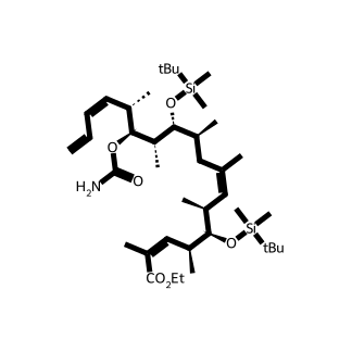 C=C/C=C\[C@H](C)[C@H](OC(N)=O)[C@@H](C)[C@H](O[Si](C)(C)C(C)(C)C)[C@@H](C)C/C(C)=C\[C@H](C)[C@@H](O[Si](C)(C)C(C)(C)C)[C@@H](C)/C=C(/C)C(=O)OCC